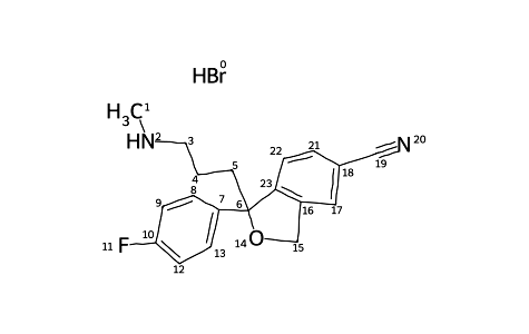 Br.CNCCCC1(c2ccc(F)cc2)OCc2cc(C#N)ccc21